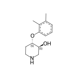 Cc1cccc(O[C@H]2CCNC[C@@H]2O)c1C